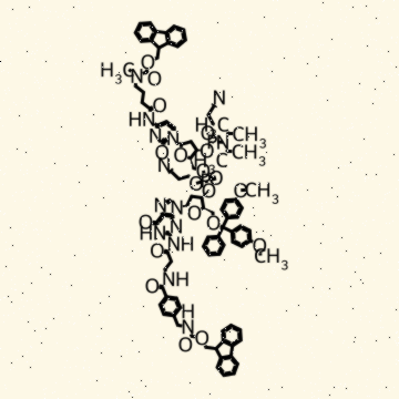 COc1ccc(C(OC[C@H]2O[C@@H](n3cnc4c(=O)[nH]c(NC(=O)CCNC(=O)c5ccc(CNC(=O)OCC6c7ccccc7-c7ccccc76)cc5)nc43)C[C@H]2OP(=O)(OCCC#N)OC[C@H]2O[C@@H](n3ccc(NC(=O)CCCN(C)C(=O)OCC4c5ccccc5-c5ccccc54)nc3=O)C[C@H]2OP(OCCC#N)N(C(C)C)C(C)C)(c2ccccc2)c2ccc(OC)cc2)cc1